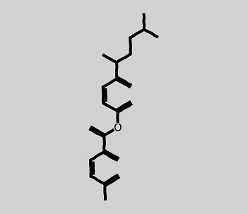 C=C(C)/C=C\C(=C)C(=C)OC(=C)/C=C\C(=C)C(C)CCC(C)C